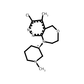 Cc1c(Cl)nnc2c1COCCN2[C@@H]1CCCN(C)C1